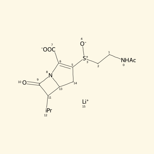 CC(=O)NCC[S+]([O-])C1=C(C(=O)[O-])N2C(=O)C(C(C)C)C2C1.[Li+]